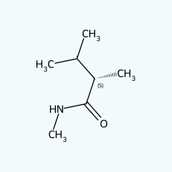 CNC(=O)[C@@H](C)[C](C)C